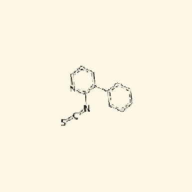 S=C=Nc1ncccc1-c1ccccc1